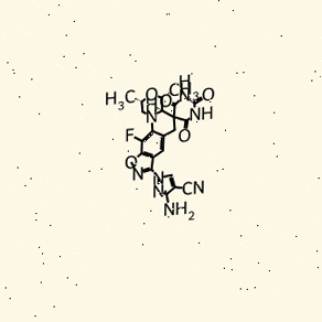 C[C@H]1CN2c3c(cc4c(-n5cc(C#N)c(N)n5)noc4c3F)CC3(C(=O)NC(=O)NC3=O)[C@@H]2[C@@H](C)O1